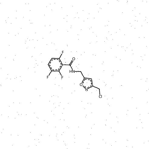 O=C(NCc1cc(CCl)no1)c1c(F)ccc(F)c1F